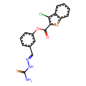 NC(=S)N/N=C/c1cccc(OC(=O)c2sc3ccccc3c2Cl)c1